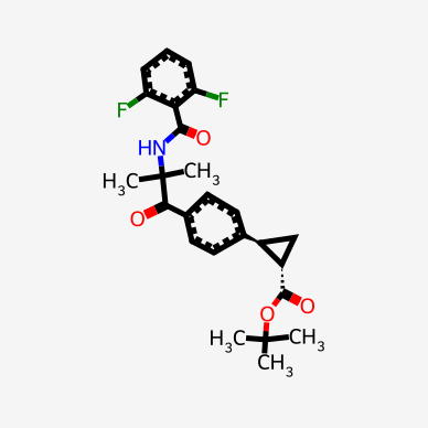 CC(C)(C)OC(=O)[C@H]1C[C@@H]1c1ccc(C(=O)C(C)(C)NC(=O)c2c(F)cccc2F)cc1